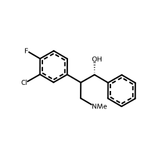 CNCC(c1ccc(F)c(Cl)c1)[C@H](O)c1ccccc1